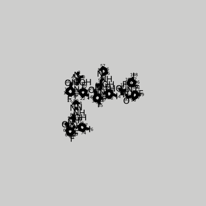 CC(N(C)C)C1(O)CN(C(=O)c2ccc(F)c(F)c2Nc2ccc(I)cc2F)C1.O=C(c1ccc(F)c(F)c1Nc1ccc(I)cc1F)N1CC(O)(CNc2ccccn2)C1.O=C(c1ccc(F)c(F)c1Nc1ccc(I)cc1F)N1CC(O)(CNc2ncccn2)C1.O=C(c1ccc(F)c(F)c1Nc1ccc(I)cc1F)N1CC(O)C1